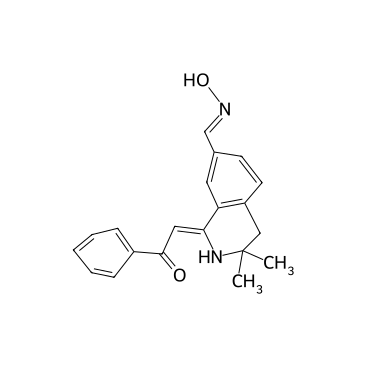 CC1(C)Cc2ccc(C=NO)cc2C(=CC(=O)c2ccccc2)N1